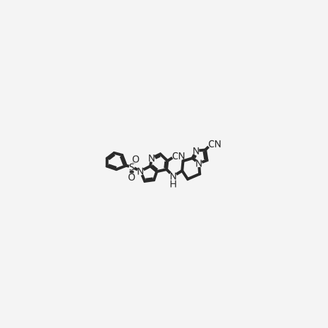 N#Cc1cn2c(n1)CC(Nc1c(C#N)cnc3c1ccn3S(=O)(=O)c1ccccc1)CC2